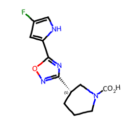 O=C(O)N1CCC[C@H](c2noc(-c3cc(F)c[nH]3)n2)C1